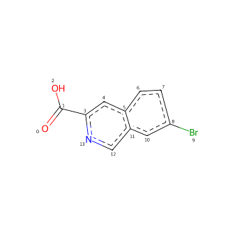 O=C(O)c1cc2ccc(Br)cc2cn1